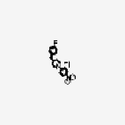 O=[N+]([O-])c1ccc(N2CCC(Cc3ccc(F)cc3)CC2)c(Cl)c1